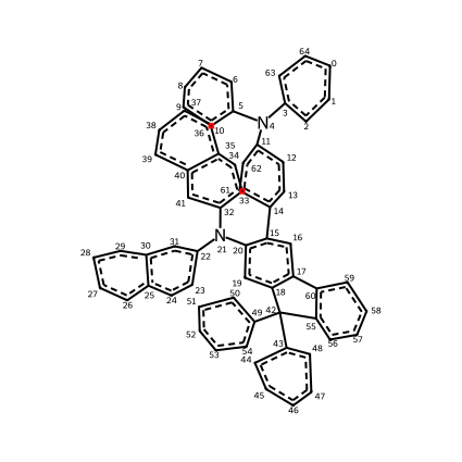 c1ccc(N(c2ccccc2)c2ccc(-c3cc4c(cc3N(c3ccc5ccccc5c3)c3ccc5ccccc5c3)C(c3ccccc3)(c3ccccc3)c3ccccc3-4)cc2)cc1